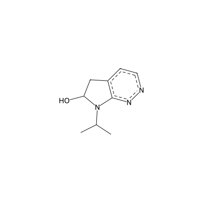 CC(C)N1c2nnccc2CC1O